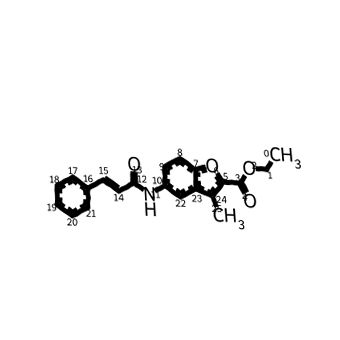 CCOC(=O)c1oc2ccc(NC(=O)C=Cc3ccccc3)cc2c1C